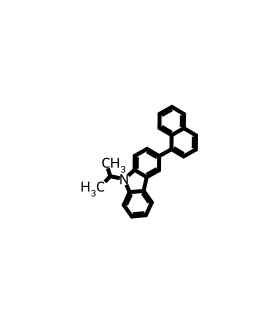 CC(C)n1c2ccccc2c2cc(-c3cccc4ccccc34)ccc21